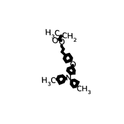 C=C(C)C(=O)OCCCc1ccc(Oc2ccc(N(c3ccc(C)cc3)c3ccc(C)cc3)cc2)cc1